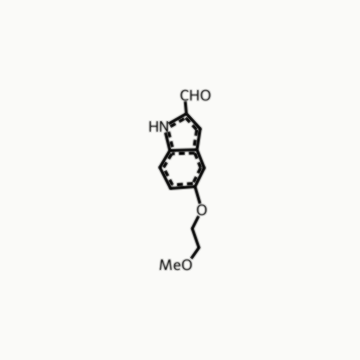 COCCOc1ccc2[nH]c(C=O)cc2c1